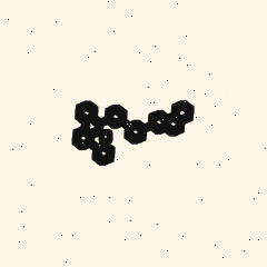 c1cc(-c2cccc(-c3c4c5c(cccc5c5ccccc35)-c3ccccc3O4)c2)cc(-c2ccc3c(ccc4ccccc43)c2)c1